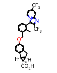 Cc1c(COc2ccc3c(c2)C[C@H]2[C@H](C(=O)O)[C@@H]32)cccc1-c1c(C(F)(F)F)nc2cc(C(F)(F)F)ccn12